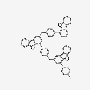 Cc1ccc(-c2cc(Cc3ccc(-c4cc(Cc5ccc(-c6cccc7c6oc6ccccc67)cc5)cc5c4oc4ccccc45)cc3)cc3c2oc2ccccc23)cc1